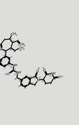 C=CC1C(C)CC=NC(c2cccc(NC(=O)NCc3ccc4c(c3)C(=O)N(C3CCC(=O)NC3=O)C4)c2)C1CC